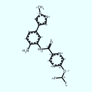 Cn1cc(-c2ccc(N)c(NC(=O)c3cnc(OC(F)F)cn3)c2)cn1